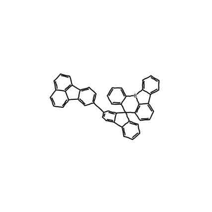 c1ccc2c(c1)B1c3ccccc3C3(c4ccccc4-c4ccc(-c5ccc6c(c5)-c5cccc7cccc-6c57)cc43)c3cccc-2c31